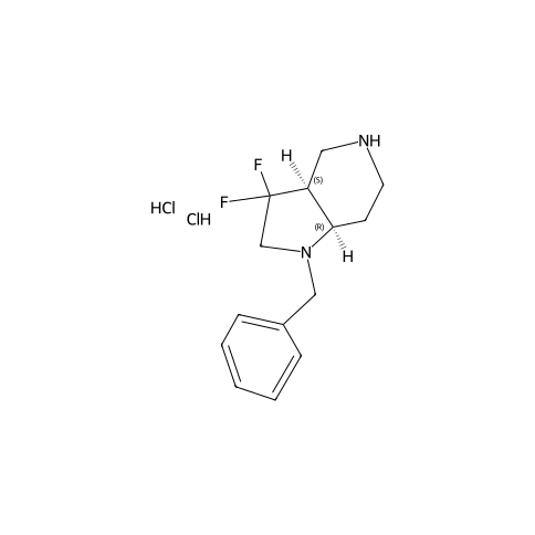 Cl.Cl.FC1(F)CN(Cc2ccccc2)[C@@H]2CCNC[C@@H]21